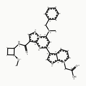 CO[C@H]1CCC1NC(=O)c1cnn2c(N(C)Cc3ccccc3)cc(-c3cnc4n(CC(=O)O)cccc3-4)nc12